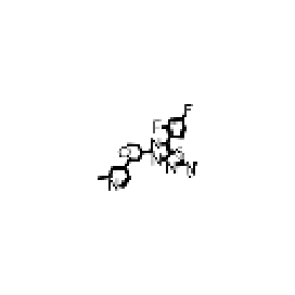 Cc1cc(C2CC(c3nc(-c4ccc(F)cc4F)c4sc(N(C)C)nc4n3)CCO2)ccn1